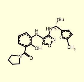 Cc1ccc([C@H](Nc2nonc2Nc2cccc(C(=O)N3CCCC3)c2O)C(C)(C)C)o1